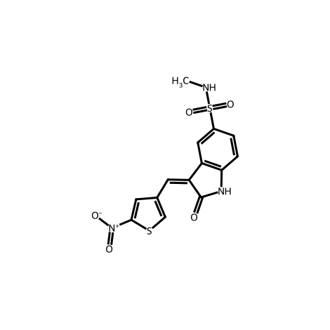 CNS(=O)(=O)c1ccc2c(c1)C(=Cc1csc([N+](=O)[O-])c1)C(=O)N2